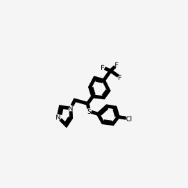 FC(F)(F)c1ccc(C(Cn2ccnc2)Sc2ccc(Cl)cc2)cc1